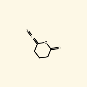 O=C1CCCC(=C=S)O1